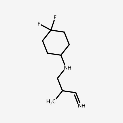 CC(C=N)CNC1CCC(F)(F)CC1